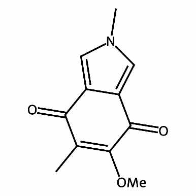 COC1=C(C)C(=O)c2cn(C)cc2C1=O